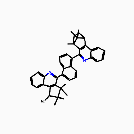 CCC1c2c(c(-c3cccc4c(-c5nc6ccccc6c6c5C5(C)CCC6C5(C)C)cccc34)nc3ccccc23)C(C)(C)C1(C)C